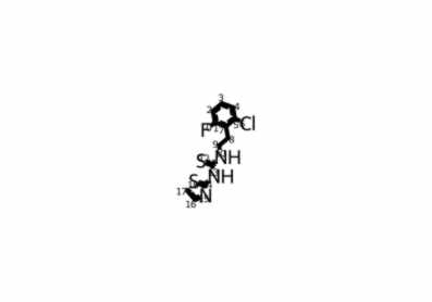 Fc1cccc(Cl)c1CCNC(=S)Nc1nccs1